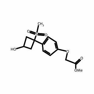 COC(=O)COc1ccc(C2(S(C)(=O)=O)CC(O)C2)cc1